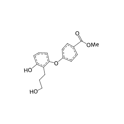 COC(=O)c1ccc(Oc2cccc(O)c2CCCO)cc1